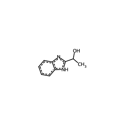 CC(O)c1nc2ccccc2[nH]1